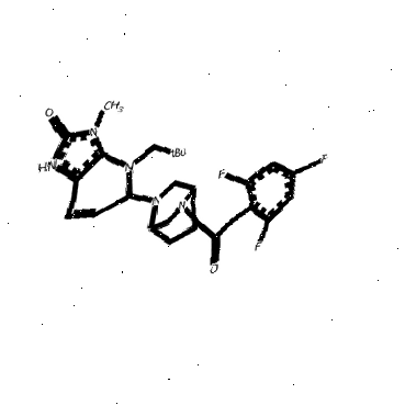 Cn1c2c([nH]c1=O)C=CC(N1CC3CCC1CN3C(=O)c1c(F)cc(F)cc1F)N2CC(C)(C)C